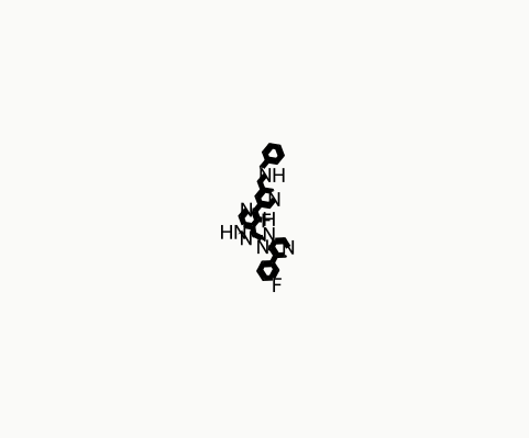 Fc1cccc(-c2cncc3[nH]c(-c4n[nH]c5cnc(-c6cncc(CNCc7ccccc7)c6)c(F)c45)nc23)c1